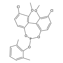 COc1c(Cl)ccc2op(Oc3c(C)cccc3C)oc3ccc(Cl)c(OC)c3c12